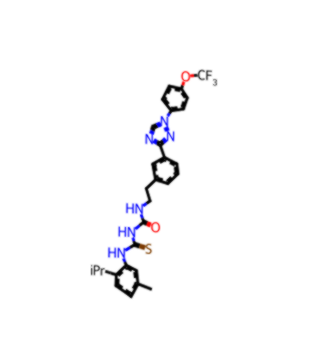 Cc1ccc(C(C)C)c(NC(=S)NC(=O)NCCc2cccc(-c3ncn(-c4ccc(OC(F)(F)F)cc4)n3)c2)c1